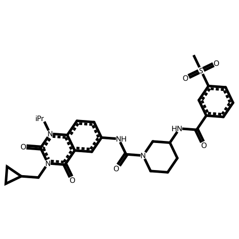 CC(C)n1c(=O)n(CC2CC2)c(=O)c2cc(NC(=O)N3CCCC(NC(=O)c4cccc(S(C)(=O)=O)c4)C3)ccc21